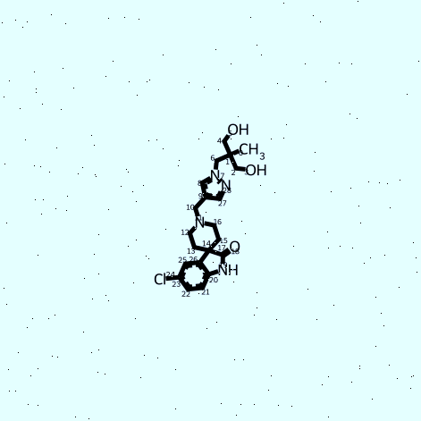 CC(CO)(CO)Cn1cc(CN2CCC3(CC2)C(=O)Nc2ccc(Cl)cc23)cn1